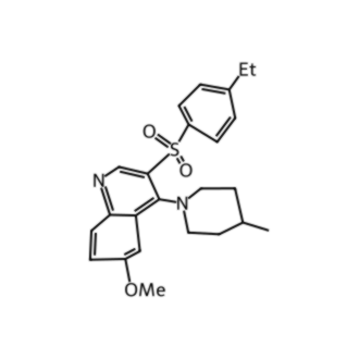 CCc1ccc(S(=O)(=O)c2cnc3ccc(OC)cc3c2N2CCC(C)CC2)cc1